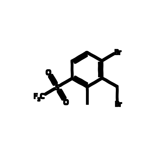 Cc1c(S(=O)(=O)C(F)(F)F)ccc(Br)c1CBr